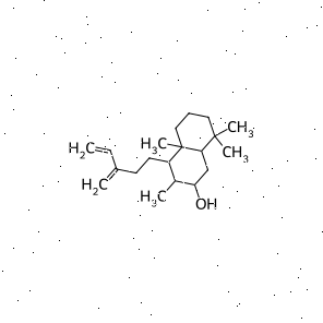 C=CC(=C)CCC1C(C)C(O)CC2C(C)(C)CCCC12C